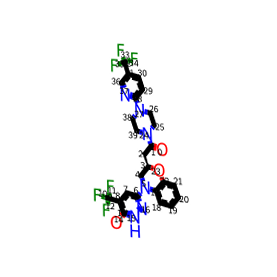 O=C(C[C@@H]1CN(c2cc(C(F)(F)F)c(=O)[nH]n2)c2ccccc2O1)N1CCN(c2ccc(C(F)(F)F)cn2)CC1